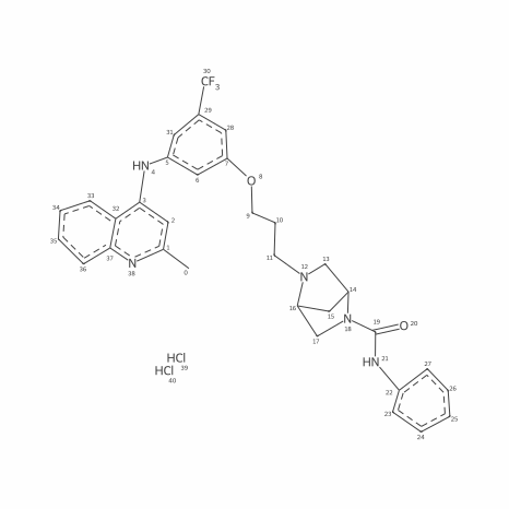 Cc1cc(Nc2cc(OCCCN3CC4CC3CN4C(=O)Nc3ccccc3)cc(C(F)(F)F)c2)c2ccccc2n1.Cl.Cl